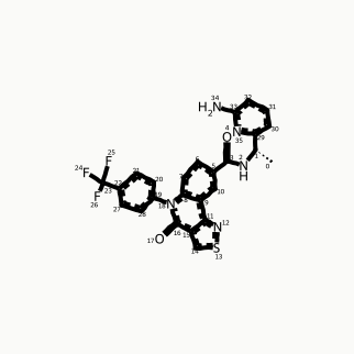 C[C@H](NC(=O)c1ccc2c(c1)c1nscc1c(=O)n2-c1ccc(C(F)(F)F)cc1)c1cccc(N)n1